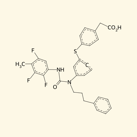 Cc1c(F)cc(NC(=O)N(CCCc2ccccc2)c2cccc(Sc3ccc(CC(=O)O)cc3)c2)c(F)c1F